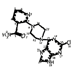 NC(=O)c1cccnc1N1CCN(c2nc(Cl)nc3[nH]cnc23)CC1